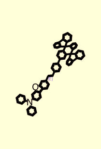 C(=C\c1ccc2c(c1)oc1cc(N(c3ccccc3)c3ccccc3)ccc12)/c1ccc(-c2ccc3c(c2)C2(c4ccccc4-c4ccccc42)c2ccccc2C32c3ccccc3-c3ccccc32)cc1